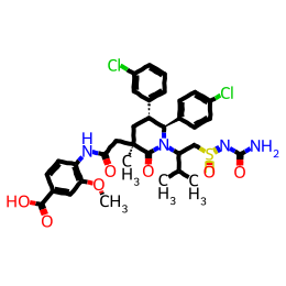 COc1cc(C(=O)O)ccc1NC(=O)C[C@@]1(C)C[C@H](c2cccc(Cl)c2)[C@@H](c2ccc(Cl)cc2)N(C(C[SH](=O)=NC(N)=O)C(C)C)C1=O